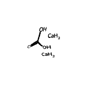 O=C(O)O.[CaH2].[CaH2]